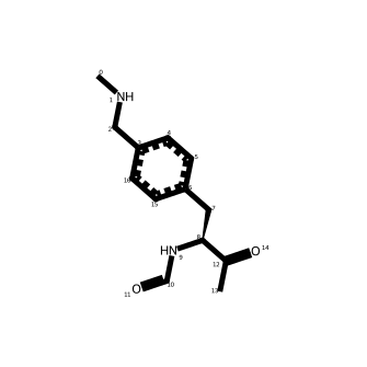 CNCc1ccc(C[C@H](NC=O)C(C)=O)cc1